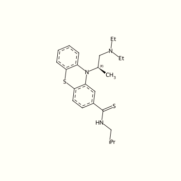 CCN(CC)C[C@@H](C)N1c2ccccc2Sc2ccc(C(=S)NCC(C)C)cc21